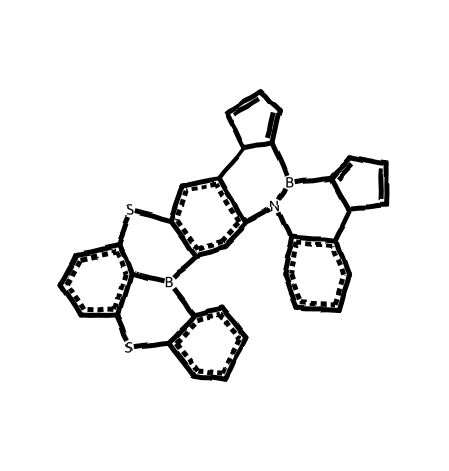 C1=CC2C(=C1)B1C3=CC=CC3c3cc4c(cc3N1c1ccccc12)B1c2ccccc2Sc2cccc(c21)S4